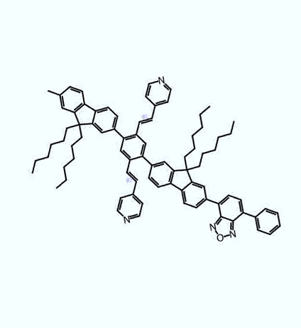 CCCCCCC1(CCCCCC)c2cc(C)ccc2-c2ccc(-c3cc(/C=C/c4ccncc4)c(-c4ccc5c(c4)C(CCCCCC)(CCCCCC)c4cc(-c6ccc(-c7ccccc7)c7nonc67)ccc4-5)cc3/C=C/c3ccncc3)cc21